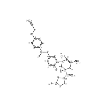 C#CCOc1cnc(/C(F)=C/c2cnc(F)c([C@@]3(C)N=C(N)S[C@@]4(C(=O)N5CC[C@H](F)C5)CC43)c2)cn1